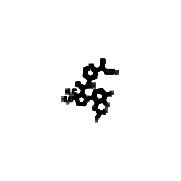 COC(=O)c1cc(NC(=O)C2N(c3ccc(F)c(F)c3OC(F)F)CCC2(C)C)ccn1